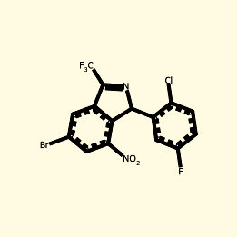 O=[N+]([O-])c1cc(Br)cc2c1C(c1cc(F)ccc1Cl)N=C2C(F)(F)F